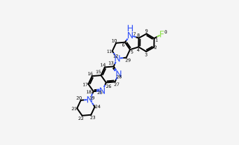 Fc1ccc2c3c([nH]c2c1)CCN(c1cc2ccc(N4CCCCC4)nc2cn1)C3